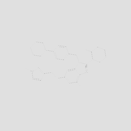 Cn1ccc(COc2cc(F)c3nc(C4CCCCC4C(=O)O)n(Cc4ccc(N5CCCCC5)cc4)c3c2)n1